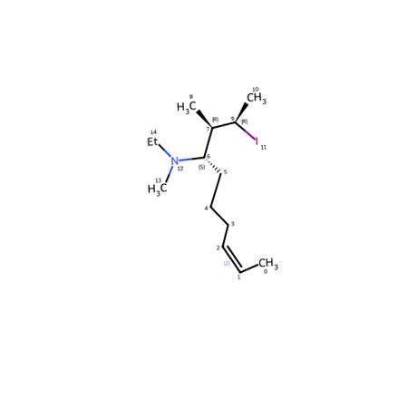 C/C=C\CCC[C@@H]([C@@H](C)[C@@H](C)I)N(C)CC